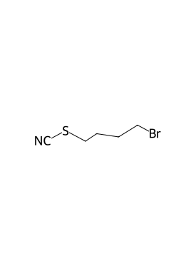 N#CSCCCCBr